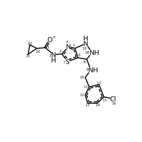 O=C(Nc1nc2c(s1)C(NCc1cccc(Cl)c1)NN2)C1CC1